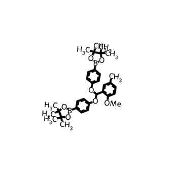 COc1ccc(C)cc1C(Oc1ccc(B2OC(C)(C)C(C)(C)O2)cc1)Oc1ccc(B2OC(C)(C)C(C)(C)O2)cc1